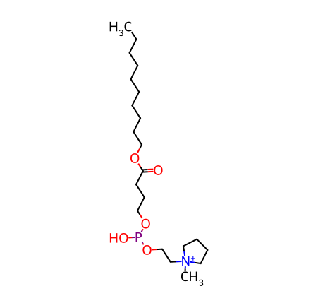 CCCCCCCCCCOC(=O)CCCOP(O)OCC[N+]1(C)CCCC1